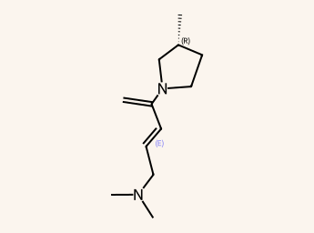 C=C(/C=C/CN(C)C)N1CC[C@@H](C)C1